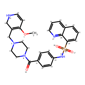 COC1=C(CN2CCN(C(=O)c3ccc(NS(=O)(=O)c4cccc5cccnc45)cc3)CC2)CNC=C1